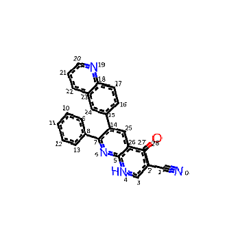 N#Cc1c[nH]c2nc(-c3ccccc3)c(-c3ccc4ncccc4c3)cc2c1=O